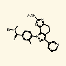 CCN(C)C(=O)c1ccc(-n2nc(-c3cccnc3)c3c2-c2sc(NC(C)=O)nc2CC3)c(F)c1